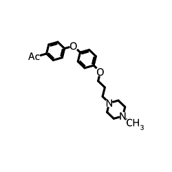 CC(=O)c1ccc(Oc2ccc(OCCCN3CCN(C)CC3)cc2)cc1